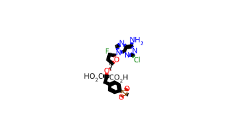 CS(=O)(=O)c1ccc(CC(OC[C@@H]2C[C@H](F)[C@H](n3cnc4c(N)nc(Cl)nc43)O2)(C(=O)O)C(=O)O)cc1